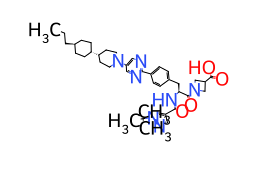 CCC[C@H]1CC[C@H](C2CCN(c3cnc(-c4ccc(C[C@H](NC(=O)c5cnn(C(C)(C)C)c5)C(=O)N5CC(C(=O)O)C5)cc4)nc3)CC2)CC1